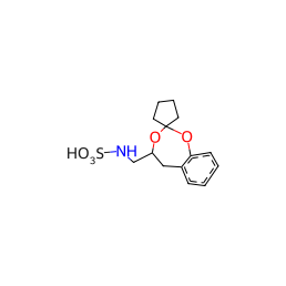 O=S(=O)(O)NCC1Cc2ccccc2OC2(CCCC2)O1